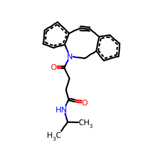 CC(C)NC(=O)CCC(=O)N1Cc2ccccc2C#Cc2ccccc21